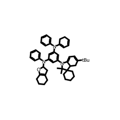 CC(C)(C)C1=CC=C2C(C1)C1(CCCCC1)C(C)(C)N2c1cc(N(C2=CC=CCC2)c2ccccc2)cc(N(c2ccccc2)C2CC3=C(CCCC3)O2)c1